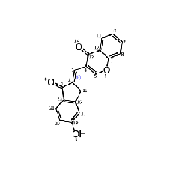 O=C1/C(=C/c2coc3ccccc3c2=O)Cc2cc(O)ccc21